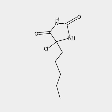 CCCCCC1(Cl)NC(=O)NC1=O